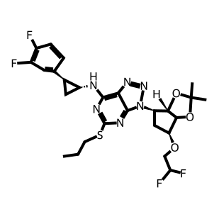 CCCSc1nc(N[C@@H]2C[C@H]2c2ccc(F)c(F)c2)c2nnn([C@@H]3C[C@H](OCC(F)F)C4OC(C)(C)O[C@H]43)c2n1